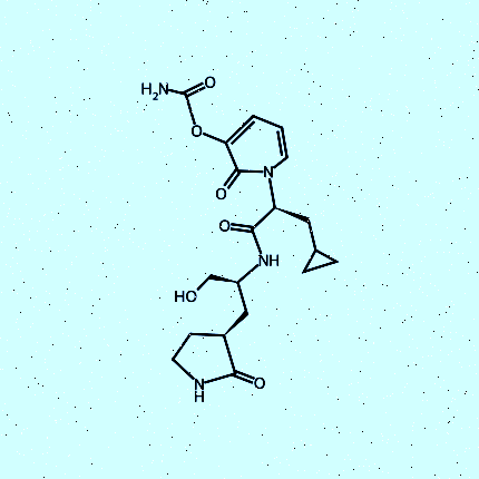 NC(=O)Oc1cccn([C@@H](CC2CC2)C(=O)N[C@H](CO)C[C@@H]2CCNC2=O)c1=O